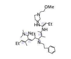 CC/C=C(\N/C(C)=C(C)/C(=N\CCc1ccccc1)C(C)/C=C(C(/C)=C/CC)\C(=N/CC)N(C)C)N[C@H]1CCN(CCOC)C1